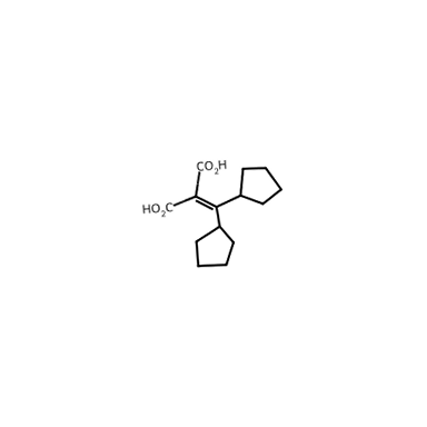 O=C(O)C(C(=O)O)=C(C1CCCC1)C1CCCC1